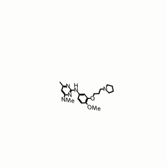 CNc1cc(C)nc(Nc2ccc(OC)c(OCCCN3CCCC3)c2)n1